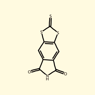 O=C1NC(=O)c2cc3sc(=S)sc3cc21